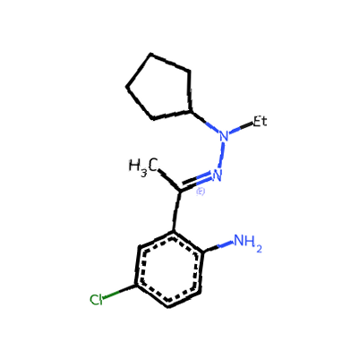 CCN(/N=C(\C)c1cc(Cl)ccc1N)C1CCCC1